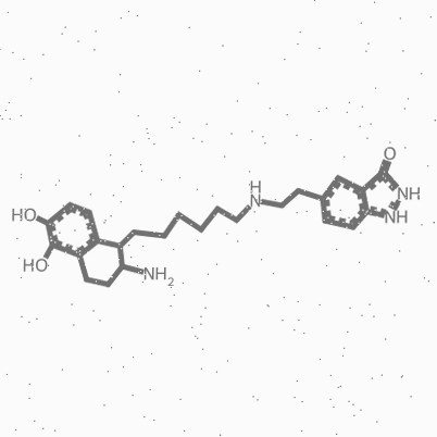 NC1CCc2c(ccc(O)c2O)C1CCCCCCNCCc1ccc2[nH][nH]c(=O)c2c1